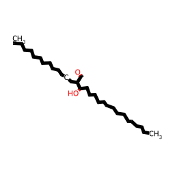 CCCCCCCCCCCCCCCC(O)C([C]=O)CCCCCCCCCCCCCC